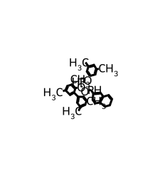 Cc1cc(C)cc(OPOc2c(C)cc(C)cc2-c2cc(C)cc(C)c2OPc2ccc3c(c2)C=CCC3)c1